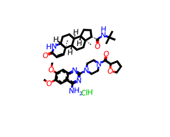 CC(C)(C)NC(=O)[C@H]1CC[C@H]2[C@@H]3CC[C@H]4NC(=O)C=C[C@]4(C)[C@H]3CC[C@]12C.COc1cc2nc(N3CCN(C(=O)C4CCCO4)CC3)nc(N)c2cc1OC.Cl